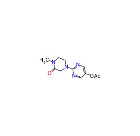 CC(=O)Oc1cnc(N2CCN(C)C(=O)C2)nc1